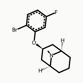 CN1[C@@H]2CCC[C@H]1C[C@@H](Oc1cc(F)ccc1Br)C2